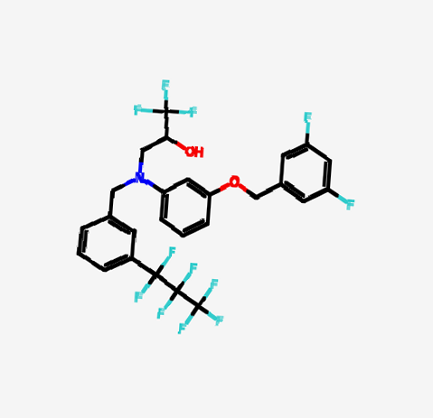 OC(CN(Cc1cccc(C(F)(F)C(F)(F)C(F)(F)F)c1)c1cccc(OCc2cc(F)cc(F)c2)c1)C(F)(F)F